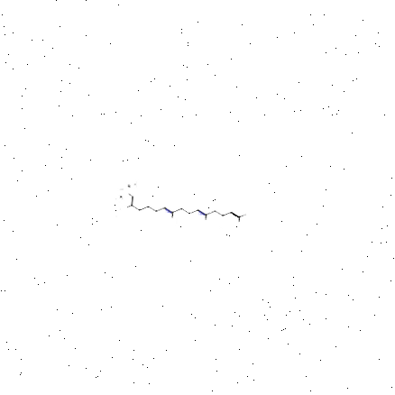 CC(C)=CCC/C(C)=C/CC/C(C)=C/CCCC(CP(=O)(O)O)C(=O)O